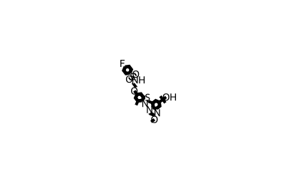 COc1cnc2c(-c3nc4c(C)cc(OCCNS(=O)(=O)c5ccc(F)cc5)cc4s3)cc(C(C)(C)O)cc2n1